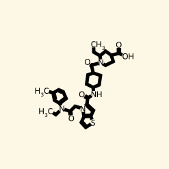 CCC1CC(C(=O)O)CCN1C(=O)C1CCC(NC(=O)c2cc3sccc3n2CC(=O)N(CC)c2cccc(C)c2)CC1